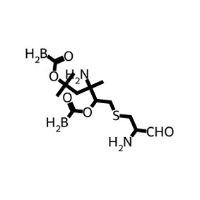 BC(=O)OC(CSCC(N)C=O)C(C)(N)CC(C)(C)OC(B)=O